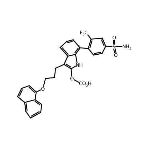 NS(=O)(=O)c1ccc(-c2cccc3c(CCCOc4cccc5ccccc45)c(OC(=O)O)[nH]c23)c(C(F)(F)F)c1